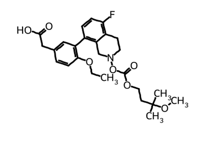 CCOc1ccc(CC(=O)O)cc1-c1ccc(F)c2c1CN(OC(=O)OCCC(C)(C)OC)CC2